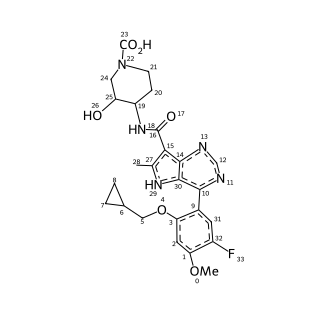 COc1cc(OCC2CC2)c(-c2ncnc3c(C(=O)NC4CCN(C(=O)O)CC4O)c(C)[nH]c23)cc1F